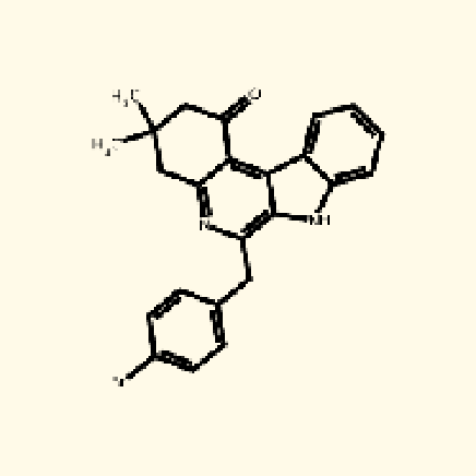 CC1(C)CC(=O)c2c(nc(Cc3ccc(Br)cc3)c3[nH]c4ccccc4c23)C1